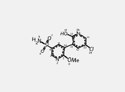 COc1ncc(S(N)(=O)=O)cc1-c1cc(Cl)cnc1O